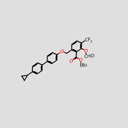 CC(C)(C)OC(=O)c1c(COc2ccc(-c3ccc(C4CC4)cc3)cc2)ccc(C(F)(F)F)c1OC=O